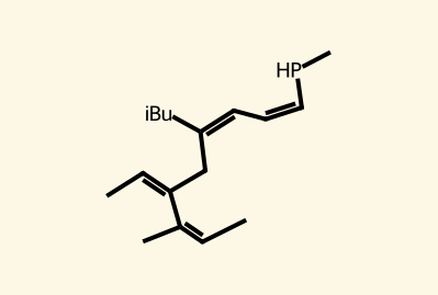 C/C=C(C)\C(=C/C)C/C(=C\C=C/PC)C(C)CC